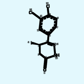 O=C1C[C@@H](I)C(c2ccc(Cl)c(Cl)c2)=NN1